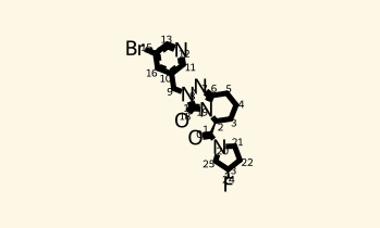 O=C([C@@H]1CCCc2nn(Cc3cncc(Br)c3)c(=O)n21)N1CC[C@H](F)C1